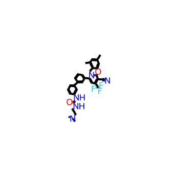 Cc1ccc(Cn2c(-c3cccc(-c4cccc(NC(=O)NCCN(C)C)c4)c3)cc(C(F)(F)F)c(C#N)c2=O)c(C)c1